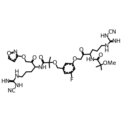 COC(C)(C)C(=O)NC(CCCNC(=N)NC#N)C(=O)COc1cc(F)cc(COC(C)(C)C(=O)NC(CCCNC(=N)NC#N)C(=O)COc2ccon2)c1